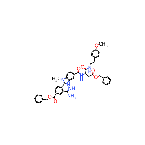 COc1ccc(CCNC(=O)C(CC(=O)OCc2ccccc2)NC(=O)c2ccc3c(c2)nc(-c2ccc(C(=O)OCc4ccccc4)cc2C(=N)N)n3C)cc1